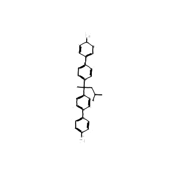 CC(C)CC(C)(c1ccc(C2=CCC(Br)C=C2)cc1)c1ccc(-c2ccc(Br)cc2)cc1